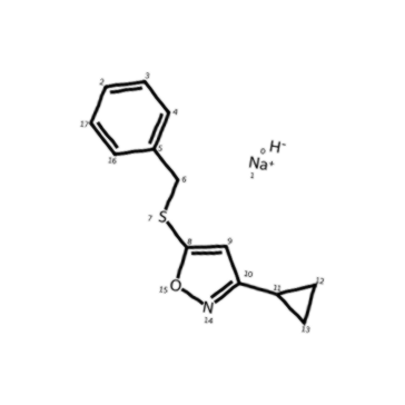 [H-].[Na+].c1ccc(CSc2cc(C3CC3)no2)cc1